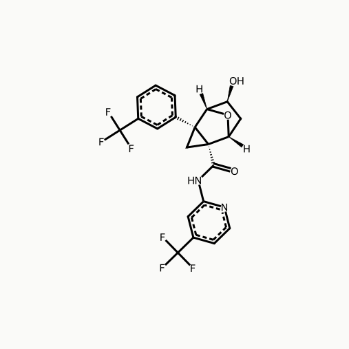 O=C(Nc1cc(C(F)(F)F)ccn1)[C@]12C[C@@]1(c1cccc(C(F)(F)F)c1)[C@H]1O[C@@H]2C[C@@H]1O